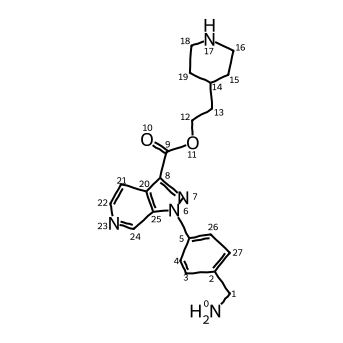 NCc1ccc(-n2nc(C(=O)OCCC3CCNCC3)c3ccncc32)cc1